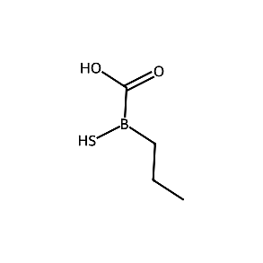 CCCB(S)C(=O)O